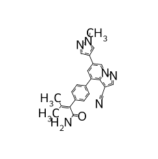 CC(C)=C(C(N)=O)c1ccc(-c2cc(-c3cnn(C)c3)cn3ncc(C#N)c23)cc1